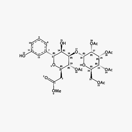 COC(=O)C[C@H]1O[C@H](c2cccc(O)c2)[C@@H](O)[C@@H](O[C@H]2O[C@H](COC(C)=O)[C@@H](OC(C)=O)[C@@H](OC(C)=O)[C@H]2OC(C)=O)[C@@H]1OC(C)=O